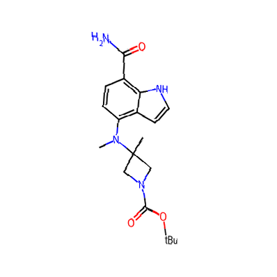 CN(c1ccc(C(N)=O)c2[nH]ccc12)C1(C)CN(C(=O)OC(C)(C)C)C1